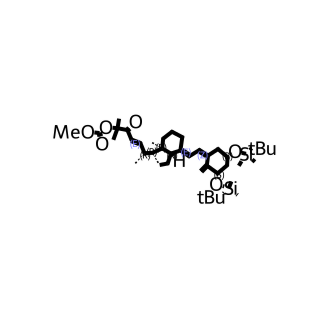 C=C1/C(=C\C=C2/CCC[C@]3(C)[C@@H]([C@H](C)/C=C/C(=O)C(C)(C)OC(=O)OC)CC[C@@H]23)C[C@@H](O[Si](C)(C)C(C)(C)C)C[C@@H]1O[Si](C)(C)C(C)(C)C